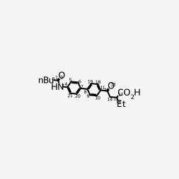 CCCCC(=O)Nc1ccc(-c2ccc(C(=O)CC(CC)C(=O)O)cc2)cc1